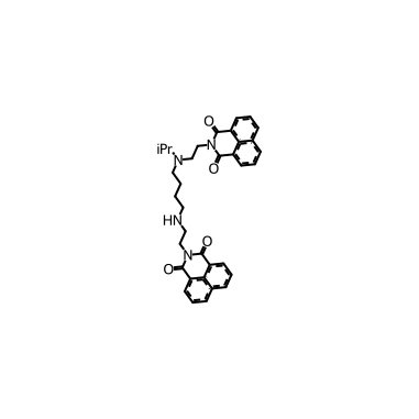 CC(C)N(CCCCNCCN1C(=O)c2cccc3cccc(c23)C1=O)CCN1C(=O)c2cccc3cccc(c23)C1=O